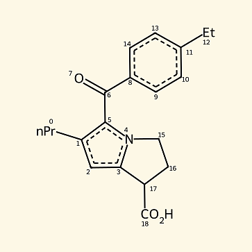 CCCc1cc2n(c1C(=O)c1ccc(CC)cc1)CCC2C(=O)O